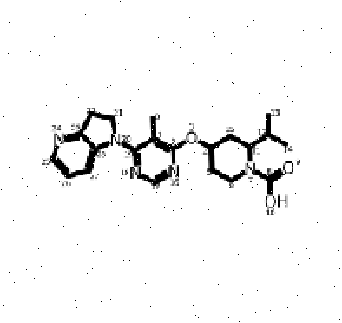 Cc1c(OC2CCN(C(=O)O)C(C(C)C)C2)ncnc1N1CCc2ncccc21